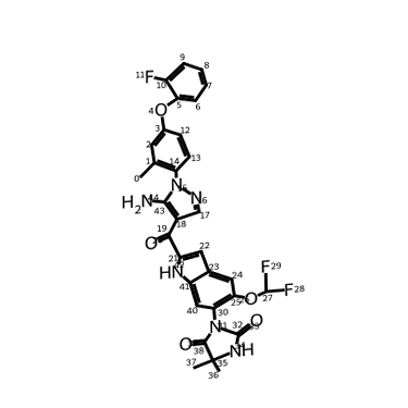 Cc1cc(Oc2ccccc2F)ccc1-n1ncc(C(=O)c2cc3cc(OC(F)F)c(N4C(=O)NC(C)(C)C4=O)cc3[nH]2)c1N